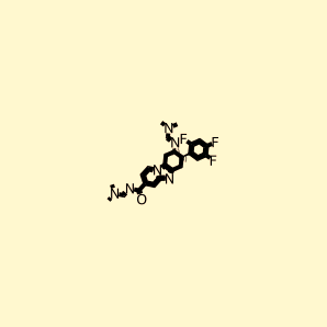 CN(C)C=NC(=O)c1ccn2c3c(nc2c1)C[C@H](c1cc(F)c(F)cc1F)[C@@H](N=CN(C)C)C3